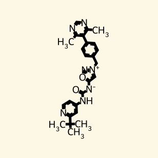 Cc1ncnc(C)c1-c1ccc(C[n+]2cc([N-]C(=O)Nc3ccnc(C(C)(C)C)c3)on2)cc1